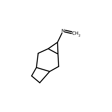 C=NC1C2CC3CCC3CC21